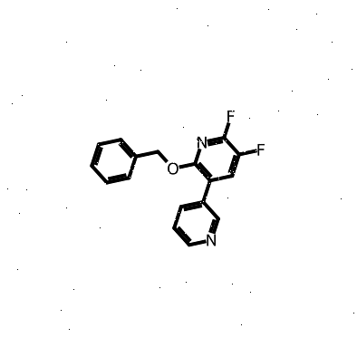 Fc1cc(-c2cccnc2)c(OCc2ccccc2)nc1F